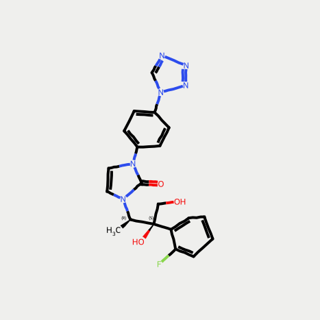 C[C@@H](n1ccn(-c2ccc(-n3cnnn3)cc2)c1=O)[C@](O)(CO)c1ccccc1F